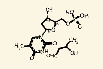 CC(O)CC=O.Cc1cn([C@H]2C[C@H](O)[C@@H](COP(=O)(O)O)O2)c(=O)[nH]c1=O